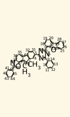 CC1(C)c2cc(-c3nc(-c4ccccc4)nc(-c4cccc5c4oc4ccccc45)n3)ccc2-c2ccc3nc(-c4ccccc4)oc3c21